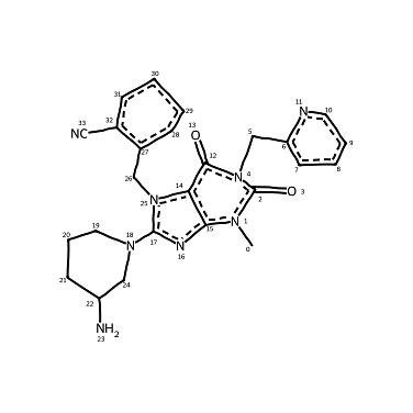 Cn1c(=O)n(Cc2ccccn2)c(=O)c2c1nc(N1CCCC(N)C1)n2Cc1ccccc1C#N